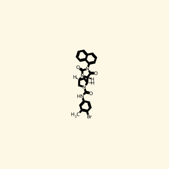 Cc1cc(NC(=O)N2C[C@@H]3C[C@H]2[C@H]2C(=O)N(c4cccc5ccccc45)C(=O)N32)ccc1Br